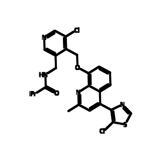 Cc1cc(-c2ncsc2Cl)c2cccc(OCc3c(Cl)cncc3CNC(=O)C(C)C)c2n1